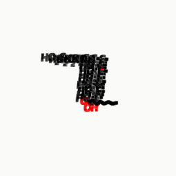 CC(=O)O.CC(=O)O.CC(=O)O.CC(=O)O.CC(=O)O.CC(=O)O.CC(=O)O.CC(=O)O.CC(=O)O.CC(=O)O.CC(=O)O.CC(=O)O.CC(=O)O.CC(=O)O.CC(=O)O.CC(=O)O.CC(=O)O.CC(=O)O.CCCCCCCC(=O)O